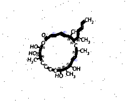 C=CC=C[C@H](C)[C@@H]1C[C@H](C)/C=C/[C@H](O)[C@H](C)[C@@H](O)CCCC[C@@H](C)[C@H](O)[C@@H](O)OC(=O)/C=C/C=C/[C@H]1C